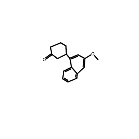 COc1cc(C2CCCC(=O)C2)c2ccccc2c1